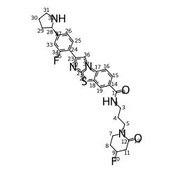 O=C(NCCCN1CCC(F)CC1=O)c1ccc2c(c1)sc1nc(-c3ccc([C@H]4CCCN4)cc3F)cn12